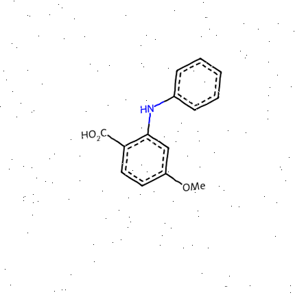 COc1ccc(C(=O)O)c(Nc2ccccc2)c1